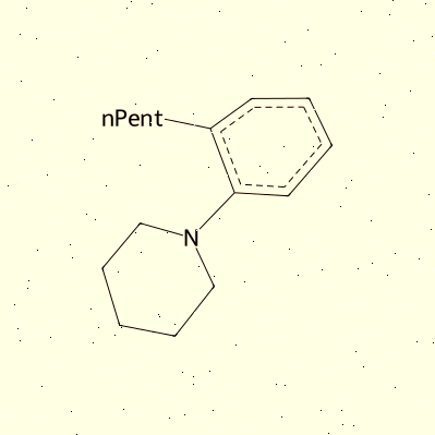 CCCCCc1ccccc1N1CCCCC1